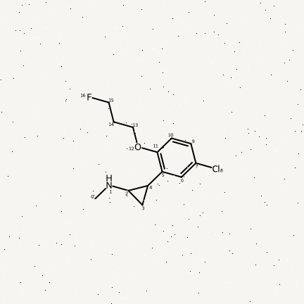 CNC1CC1c1cc(Cl)ccc1OCCCF